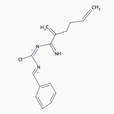 C=CCCC(=C)C(=N)/N=C(Cl)\N=C\c1ccccc1